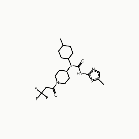 Cc1cnc(NC(=O)N(C2CCC(C)CC2)C2CCN(C(=O)CC(F)(F)F)CC2)s1